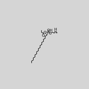 CCCCCCCCCCCCCCCCCC(COP(O)OCCNC)OC(=O)CC